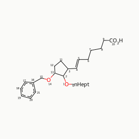 CCCCCCCOC1C(C=CCCCCC(=O)O)CCC1OCc1ccccc1